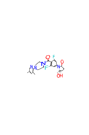 Cc1cnc(N2CCN(C(=O)c3c(F)cc(N4C(=O)CC[C@@H]4CO)cc3F)CC2)c(C)c1